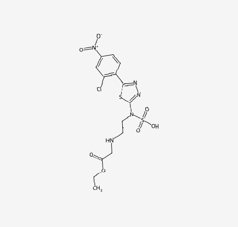 CCOC(=O)CNCCN(c1nnc(-c2ccc([N+](=O)[O-])cc2Cl)s1)S(=O)(=O)O